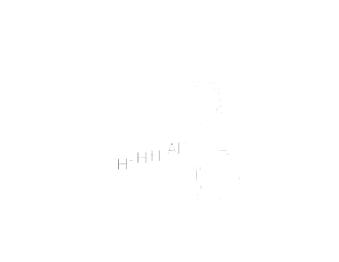 [Al+3].[H-].[H-].[H-].c1ccc(-c2ccccc2)cc1